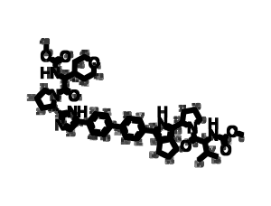 COC(=O)NC(C(=O)N1CCCC1c1[nH]c(-c2ccc(-c3ccc(-c4cnc([C@@H]5CCCN5C(=O)C(NC(=O)OC)C5CCOCC5)[nH]4)cc3)cc2)c2c1CCC2)C(C)C